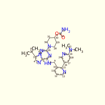 C=C(C)c1cnc2c(NCc3cccnc3-c3ccc(N(C)C)nc3)nc(N3CCC(OC(N)=O)CC3)nn12